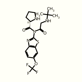 CC(C)(C)NCC(=O)N(C(=O)[C@@H]1CCCN1)c1nc2ccc(OC(F)(F)F)cc2s1